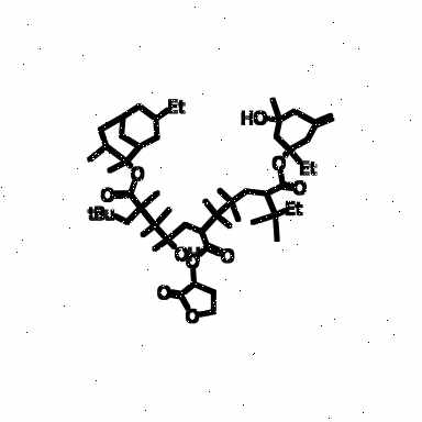 C=C1CC(C)(O)CC(CC)(OC(=O)C(CC(C)(C)C(C)(C)C(CC(C)(O)C(C)(C)C(C)(CC(C)(C)C)C(=O)OC2(C)C(C)CC3CC(CC)CC2C3)C(=O)OC2CCOC2=O)C(C)(C)CC)C1